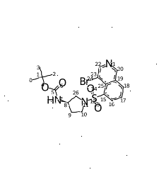 CC(C)(C)OC(=O)N[C@@H]1CCN(S(=O)(=O)c2cccc3cncc(Br)c23)C1